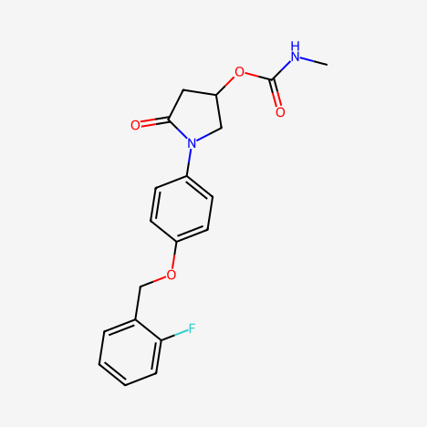 CNC(=O)OC1CC(=O)N(c2ccc(OCc3ccccc3F)cc2)C1